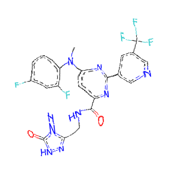 CN(c1cc(C(=O)NCc2n[nH]c(=O)[nH]2)nc(-c2cncc(C(F)(F)F)c2)n1)c1ccc(F)cc1F